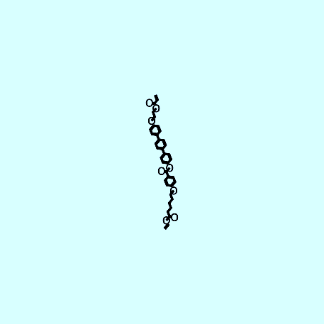 C=COC(=O)CCCCCOc1ccc(C(=O)Oc2ccc(-c3ccc(-c4ccc(OCCOC(=O)C=C)cc4)cc3)cc2)cc1